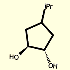 CC(C)C1C[C@H](O)[C@@H](O)C1